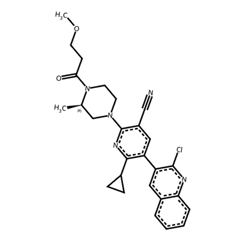 COCCC(=O)N1CCN(c2nc(C3CC3)c(-c3cc4ccccc4nc3Cl)cc2C#N)C[C@H]1C